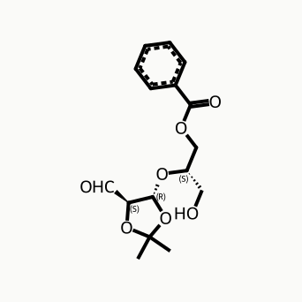 CC1(C)O[C@@H](O[C@@H](CO)COC(=O)c2ccccc2)[C@H](C=O)O1